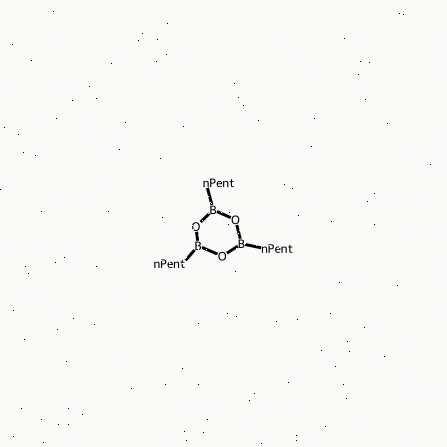 CCCCCB1OB(CCCCC)OB(CCCCC)O1